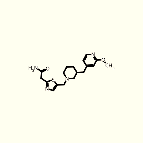 COc1cc(CC2CCCN(Cc3cnc(CC(N)=O)s3)C2)ccn1